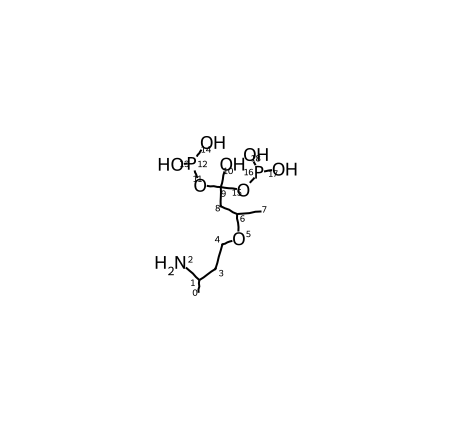 CC(N)CCOC(C)CC(O)(OP(O)O)OP(O)O